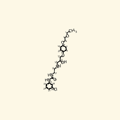 CCOCCOc1ccc(OCC(O)CNCCNC(=O)Nc2cccc(Cl)c2)cc1